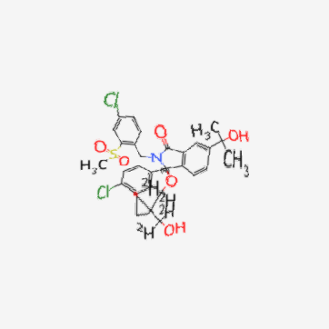 [2H]C([2H])(O)C1(C([2H])([2H])O[C@]2(c3ccc(Cl)cc3)c3ccc(C(C)(C)O)cc3C(=O)N2Cc2ccc(Cl)cc2S(C)(=O)=O)CC1